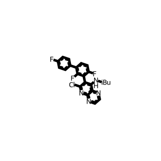 CCC(C)Nc1c(-c2c(F)ccc(-c3ccc(F)cc3)c2F)c(Cl)nc2nccnc12